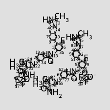 C[C@H]1CN(Cc2cccc(-c3cc(CNC(=O)c4cccc(CN5CC[N+](C)(C)C(C(N)=O)C5)c4)ccc3F)c2)CCN1.C[C@H]1CN(Cc2cccc(-c3cc(CNC(=O)c4cccc(CN5CC[N+](C)(C)C(C(N)=O)C5)c4)ccc3F)c2)CCN1.O=C([O-])C(F)(F)F.O=C([O-])C(F)(F)F